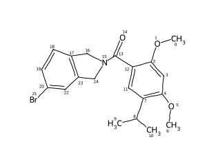 COc1cc(OC)c(C(C)C)cc1C(=O)N1Cc2ccc(Br)cc2C1